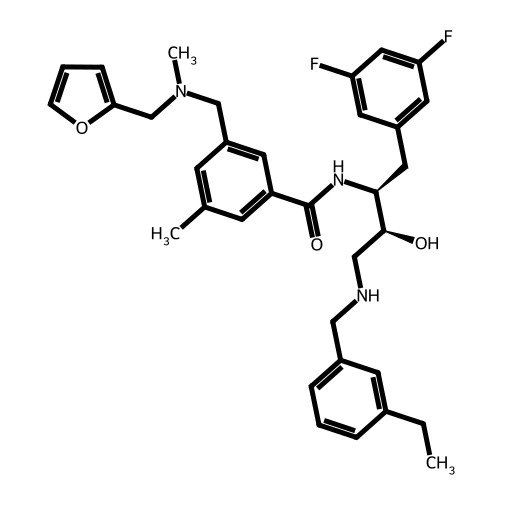 CCc1cccc(CNC[C@H](O)[C@H](Cc2cc(F)cc(F)c2)NC(=O)c2cc(C)cc(CN(C)Cc3ccco3)c2)c1